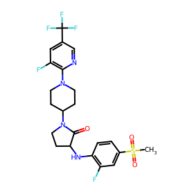 CS(=O)(=O)c1ccc(NC2CCN(C3CCN(c4ncc(C(F)(F)F)cc4F)CC3)C2=O)c(F)c1